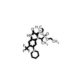 CCOP(=O)(OCC)C(C)n1c(=O)c(=O)[nH]c2cc(C(F)(F)F)c(N3CCCCC3)cc21